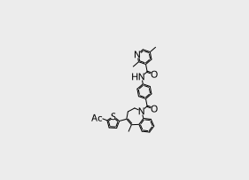 CC(=O)c1ccc(C2=C(C)c3ccccc3N(C(=O)c3ccc(NC(=O)c4cc(C)cnc4C)cc3)CC2)s1